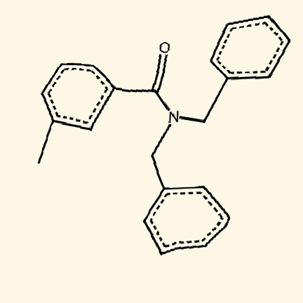 Cc1cccc(C(=O)N(Cc2ccccc2)Cc2ccccc2)c1